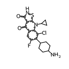 NC1CCC(c2c(F)cc3c(=O)c4c(=O)[nH]sc4n(C4CC4)c3c2Cl)CC1